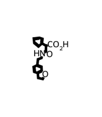 O=C(O)C(C(=O)NCCc1ccc2c(c1)OCC2)c1ccccc1